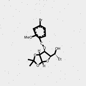 CC[C@@H](O)[C@H]1O[C@@H]2OC(C)(C)O[C@@H]2[C@H]1OCc1ccc(Br)cc1OC